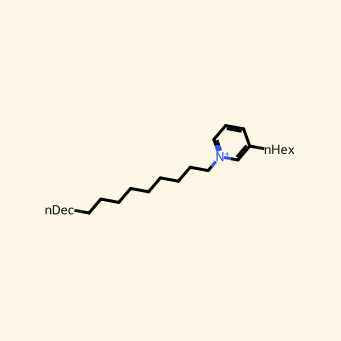 CCCCCCCCCCCCCCCCCCC[n+]1cccc(CCCCCC)c1